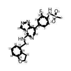 CS(=O)(=O)Nc1ccc(-c2cnc(NCc3cccc4c3CCO4)n3cnnc23)cc1F